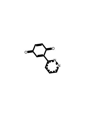 O=C1C=CC(=O)C(c2cccnn2)=C1